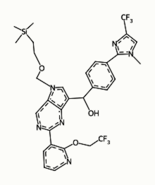 Cn1cc(C(F)(F)F)nc1-c1ccc(C(O)c2cn(COCC[Si](C)(C)C)c3cnc(-c4cccnc4OCC(F)(F)F)nc23)cc1